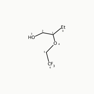 CCC(CO)OCC(F)(F)F